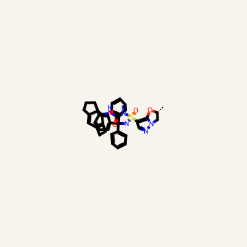 C[C@@H]1Cn2ncc(S(=O)(=NC(c3ccccc3)(c3ccccc3)c3ccccc3)NC(=O)Nc3c4c(cc5c3CC5)CCC4)c2O1